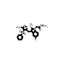 COC(=O)Cn1c(C)c(Cc2snc(C)c2S(=O)(=O)c2ccccc2)c2cc(F)ccc21